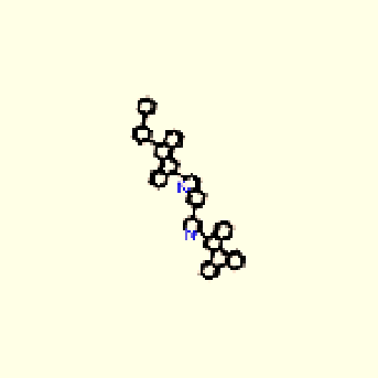 c1ccc(-c2cccc(-c3cc4c5ccccc5c(-c5ccc6ccc(-c7ccnc(-c8cc9c%10ccccc%10c%10ccccc%10c9c9ccccc89)c7)cc6n5)cc4c4ccccc34)c2)cc1